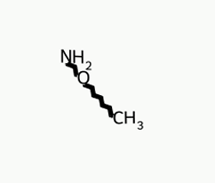 CCCCCCCCOCCCN